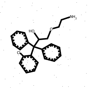 NCCOCC(O)C(c1ccccc1)(c1ccccc1)c1ccccc1Cl